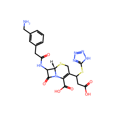 NCc1cccc(CC(=O)NC2C(=O)N3C(C(=O)O)=C(C(CC(=O)O)Sc4nnn[nH]4)CS[C@@H]23)c1